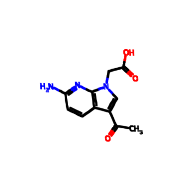 CC(=O)c1cn(CC(=O)O)c2nc(N)ccc12